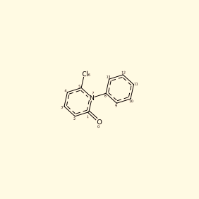 O=c1cccc(Cl)n1-c1ccccc1